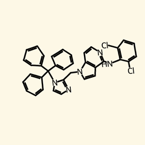 Clc1cccc(Cl)c1Nc1nccc2c1ccn2Cc1nccn1C(c1ccccc1)(c1ccccc1)c1ccccc1